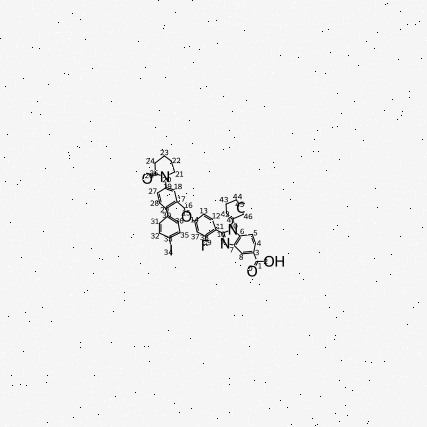 O=C(O)c1ccc2c(c1)nc(-c1ccc(OCc3cc(N4CCCCC4=O)ccc3-c3ccc(I)cc3)cc1F)n2C1CCCCC1